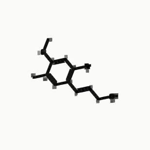 COc1cc(Br)c(/C=C/CO)cc1C